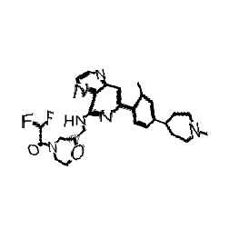 CC1C=C(C2CCN(C)CC2)C=CC1c1cc2nccnc2c(NC[C@@H]2CN(C(=O)C(F)F)CCO2)n1